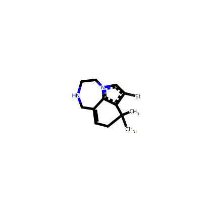 CCc1cn2c3c1C(C)(C)CC=C3CNCC2